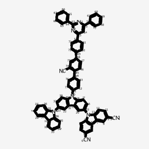 N#Cc1ccc2c(c1)c1cc(C#N)ccc1n2-c1ccc2c(c1)c1cc(-n3c4ccccc4c4ccccc43)ccc1n2-c1ccc(-c2ccc(-c3ccc(-c4cc(-c5ccccc5)nc(-c5ccccc5)n4)cc3)cc2C#N)cc1